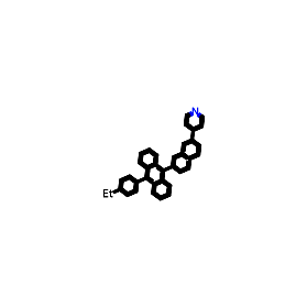 CCc1ccc(-c2c3ccccc3c(-c3ccc4ccc(-c5ccncc5)cc4c3)c3ccccc23)cc1